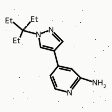 CCC(CC)(CC)n1cc(-c2ccnc(N)c2)cn1